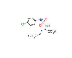 O=C(O)CC[C@H](NS(=O)(=O)Nc1ccc(Cl)cc1)C(=O)O